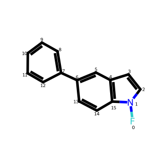 Fn1ccc2cc(-c3ccccc3)ccc21